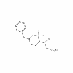 CCOC(=O)CC(=O)C1CCN(Cc2ccccc2)CC1(F)F